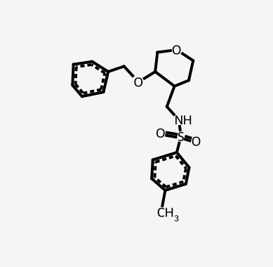 Cc1ccc(S(=O)(=O)NCC2CCOCC2OCc2ccccc2)cc1